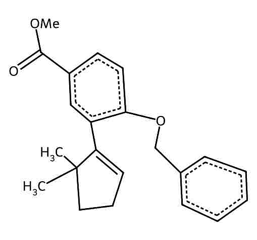 COC(=O)c1ccc(OCc2ccccc2)c(C2=CCCC2(C)C)c1